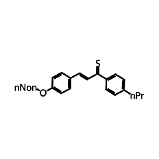 CCCCCCCCCOc1ccc(C=CC(=S)c2ccc(CCC)cc2)cc1